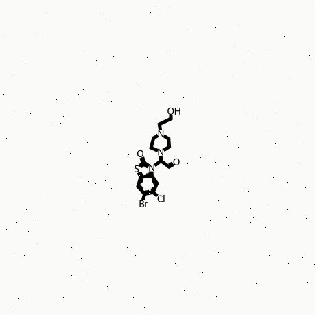 O=CC(N1CCN(CCO)CC1)n1c(=O)sc2cc(Br)c(Cl)cc21